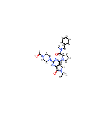 CC(=O)N1CCN(c2nc3c(c(N4CCC[C@@H]4C(=O)N(C)Cc4ccccc4)n2)CN(C(C)C)C3=O)CC1